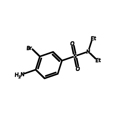 CCN(CC)S(=O)(=O)c1ccc(N)c(Br)c1